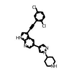 Clc1ccc(Cl)c(C#Cc2c[nH]c3ncc(-c4cnn(C5CCNCC5)c4)cc23)c1